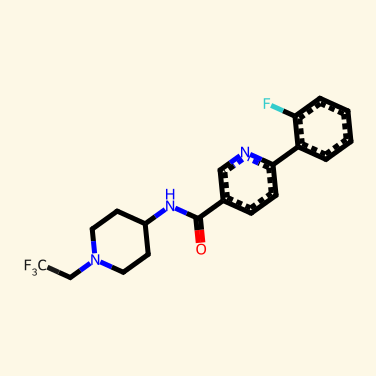 O=C(NC1CCN(CC(F)(F)F)CC1)c1ccc(-c2ccccc2F)nc1